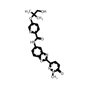 Cn1nc(-c2nc3cc(NC(=O)c4ccc(OC(C)(C)CO)cn4)ccc3o2)ccc1=O